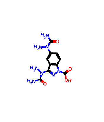 NC(=O)N(N)c1ccc2c(c1)c(N(N)C(N)=O)nn2C(=O)O